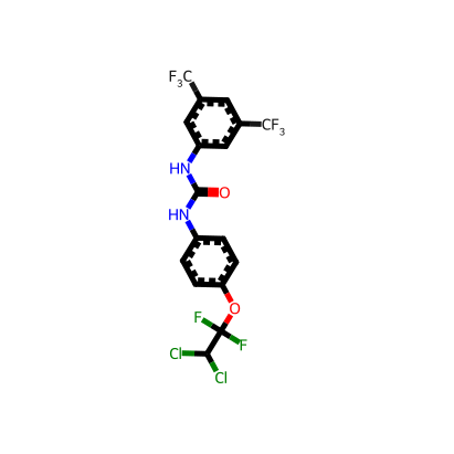 O=C(Nc1ccc(OC(F)(F)C(Cl)Cl)cc1)Nc1cc(C(F)(F)F)cc(C(F)(F)F)c1